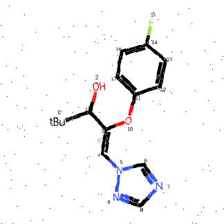 CC(C)(C)C(O)/C(=C/n1cncn1)Oc1ccc(F)cc1